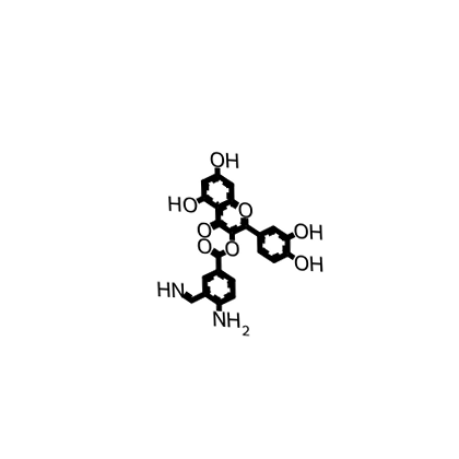 N=Cc1cc(C(=O)Oc2c(-c3ccc(O)c(O)c3)oc3cc(O)cc(O)c3c2=O)ccc1N